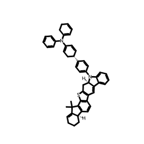 CC1(C)C2=CCCC[C@@H]2c2ccc3c4c(sc3c21)C[C@@H]1C(=C4)c2ccccc2N1c1ccc([C@H]2C=CC(N(C3=CC=CCC3)c3ccccc3)=CC2)cc1